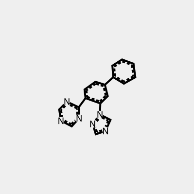 c1ccc(-c2ccc(-c3ncncn3)c(-n3cncn3)c2)cc1